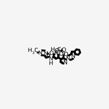 CCN1CCn2nc(Nc3cc(-c4ccnc(N5CCn6c(cc7c6CCCC7)C5=O)c4COC(C)=O)cn(C)c3=O)cc2C1